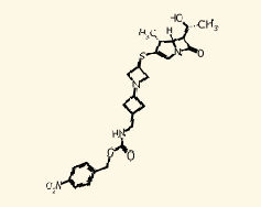 C[C@@H](O)[C@H]1C(=O)N2C=C(SC3CN(C4CC(CNC(=O)OCc5ccc([N+](=O)[O-])cc5)C4)C3)[C@H](C)[C@H]12